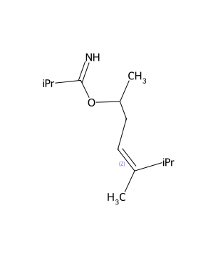 C/C(=C/CC(C)OC(=N)C(C)C)C(C)C